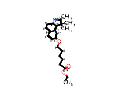 CCOC(=O)CCCCCOc1ccc2ccc3c(c2c1)C(C)(C)C(C)=N3